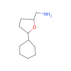 NCC1CCC(C2CCCCC2)O1